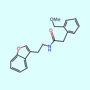 COCc1ccccc1CC(=O)N[CH]Cc1coc2ccccc12